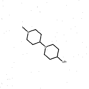 CCCC1CCN(C2CCN(I)CC2)CC1